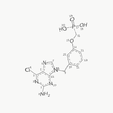 Nc1nc(Cl)c2ncn(Cc3cccc(OCP(=O)(O)O)c3)c2n1